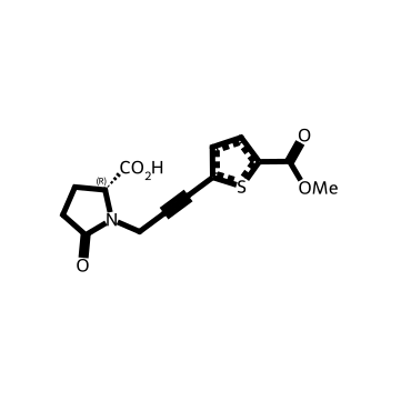 COC(=O)c1ccc(C#CCN2C(=O)CC[C@@H]2C(=O)O)s1